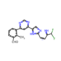 Cc1c(C=O)cccc1-c1cc(-c2cnc(/C=C\C(=N)C(F)F)[nH]2)ncn1